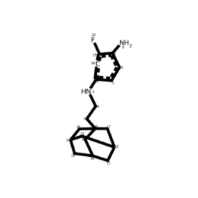 Nc1ccc(NCCC23CC4CC(CC(C4)C2)C3)cc1F